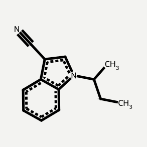 C[CH]C(C)n1cc(C#N)c2ccccc21